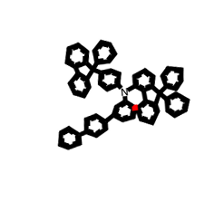 c1ccc(-c2ccc(-c3cccc(N(c4ccc(C5(c6ccccc6)c6ccccc6-c6ccccc65)cc4)c4cccc5c4-c4ccccc4C5(c4ccccc4)c4ccccc4)c3)cc2)cc1